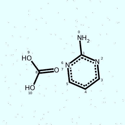 Nc1ncccn1.O=C(O)O